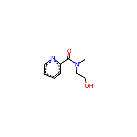 CN(CCO)C(=O)c1ccccn1